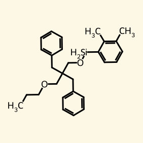 CCCOCC(CO[SiH2]c1cccc(C)c1C)(Cc1ccccc1)Cc1ccccc1